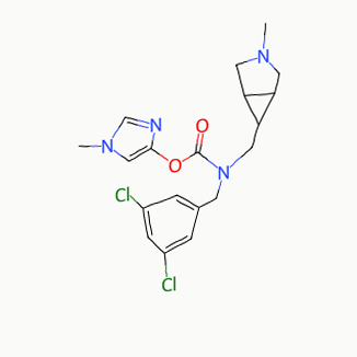 CN1CC2C(C1)C2CN(Cc1cc(Cl)cc(Cl)c1)C(=O)Oc1cn(C)cn1